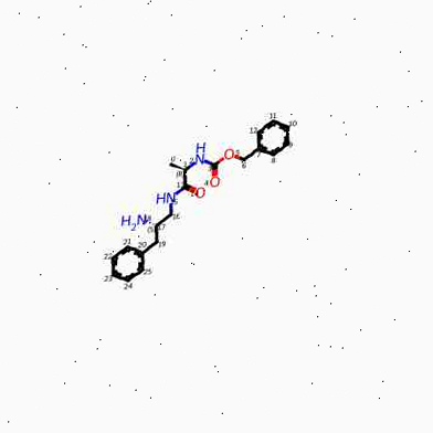 C[C@@H](NC(=O)OCc1ccccc1)C(=O)NC[C@@H](N)Cc1ccccc1